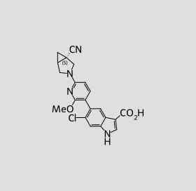 COc1nc(N2CC3C[C@@]3(C#N)C2)ccc1-c1cc2c(C(=O)O)c[nH]c2cc1Cl